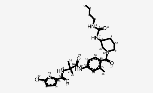 CCCCNC(=O)NC1CCCN(C(=O)c2ccc(NC(=O)C(C)(C)NC(=O)c3ccc(Cl)s3)cc2C)C1